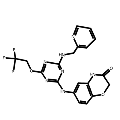 O=C1COc2ccc(Nc3nc(NCc4ccccn4)nc(OCC(F)(F)F)n3)cc2N1